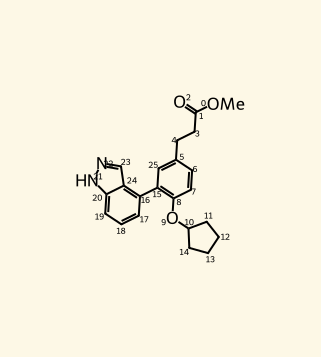 COC(=O)CCc1ccc(OC2CCCC2)c(-c2cccc3[nH]ncc23)c1